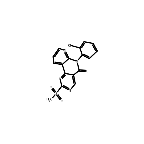 CS(=O)(=O)c1ncc2c(=O)n(-c3ccccc3Cl)c3ncccc3c2n1